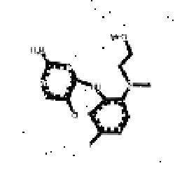 COCCN(C)c1ccc(I)cc1Nc1nc(N)ncc1Cl